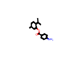 CC1CCC(C(C)C)C(OC(=O)c2ccc(N)cc2)C1